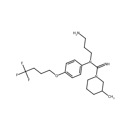 CC1CCCN(C(=N)N(CCCN)c2ccc(OCCCC(F)(F)F)cc2)C1